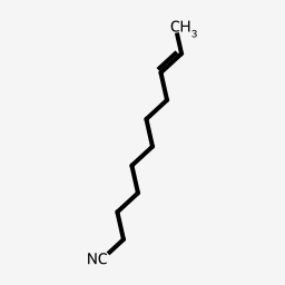 C/C=C/CCCCCCCC#N